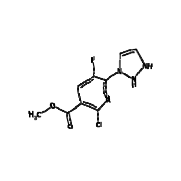 COC(=O)c1cc(F)c(N2C=CNN2)nc1Cl